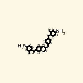 CCC(Cc1ccc(Cc2ccc(N)cc2C)cc1)Cc1ccc(Cc2ccc(N)cc2C)cc1